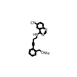 [C-]#[N+]c1ccc2ncnc(NCCC#Cc3ccccc3COC)c2c1